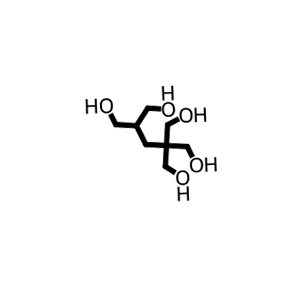 OCC(CO)CC(CO)(CO)CO